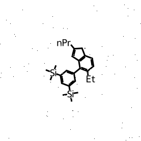 CCCC1=Cc2c(ccc(CC)c2-c2cc([Si](C)(C)C)cc([Si](C)(C)C)c2)[CH]1